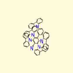 N#Cc1c(-n2c3ccccc3c3ccccc32)c(-n2c3ccccc3c3ccccc32)c(-c2cccc(-n3c4ccccc4c4ccccc43)c2)c(-n2c3ccccc3c3ccccc32)c1-n1c2ccccc2c2ccccc21